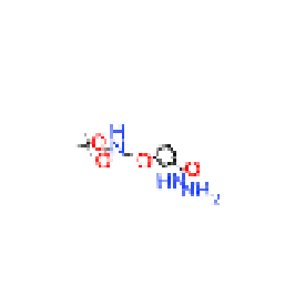 CC(C)(C)OC(=O)NCCOc1cccc(C(=O)NN)c1